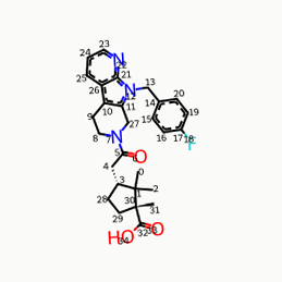 CC1(C)[C@@H](CC(=O)N2CCc3c(n(Cc4ccc(F)cc4)c4ncccc34)C2)CC[C@@]1(C)C(=O)O